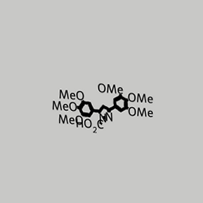 COc1cc(C2=NN(C(=O)O)C(c3cc(OC)c(OC)c(OC)c3)C2)cc(OC)c1OC